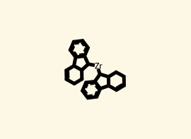 C1=CC2c3ccccc3[CH]([Zr][CH]3c4ccccc4C4C=CCCC43)C2CC1